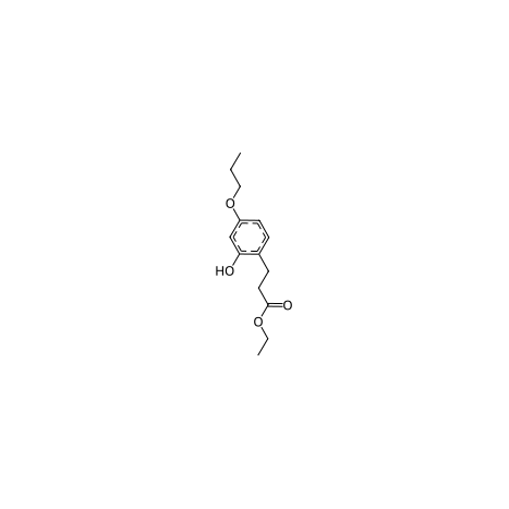 CCCOc1ccc(CCC(=O)OCC)c(O)c1